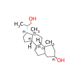 CC(CO)[C@H]1CC[C@H]2C3=CCC4C[C@H](O)CC[C@]4(C)[C@H]3CC[C@]12C